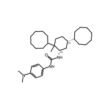 CN(C)c1ccc(NC(=O)N[C@H]2C[C@@H](C3CCCCCCC3)CCC2(C)C2CCCCCCC2)cc1